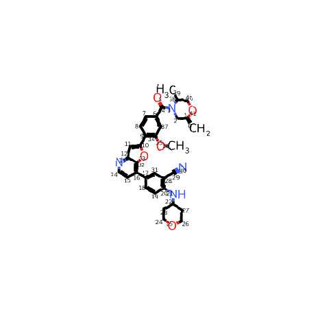 C=C1CN(C(=O)c2ccc(-c3cc4nccc(-c5ccc(NC6CCOCC6)c(C#N)c5)c4o3)c(OC)c2)C(C)CO1